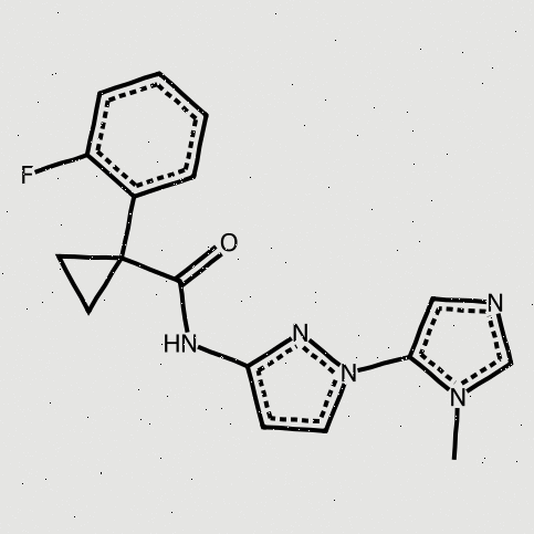 Cn1cncc1-n1ccc(NC(=O)C2(c3ccccc3F)CC2)n1